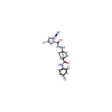 N#C[C@@H]1C[C@H](F)CN1C(=O)CNC12CCC(C(=O)Nc3ccc(Cl)cc3Cl)(CC1)CC2